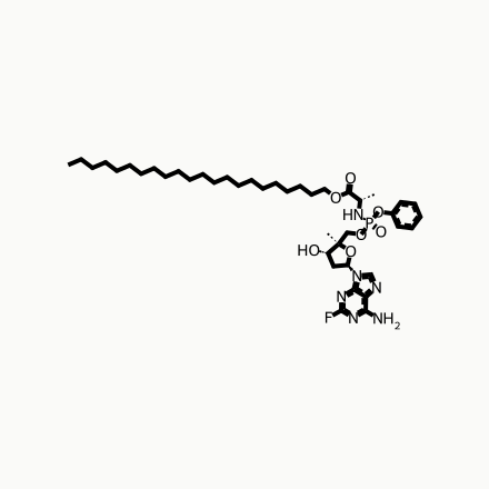 CCCCCCCCCCCCCCCCCCCCCCOC(=O)[C@H](C)N[P@](=O)(OC[C@@]1(C)O[C@@H](n2cnc3c(N)nc(F)nc32)C[C@@H]1O)Oc1ccccc1